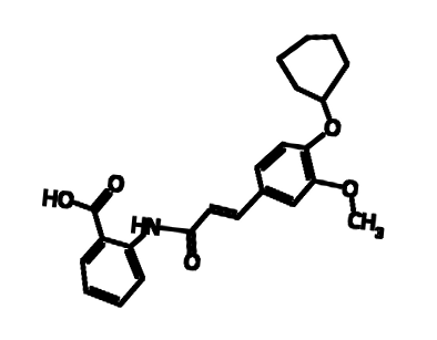 COc1cc(C=CC(=O)Nc2ccccc2C(=O)O)ccc1OC1CCCCC1